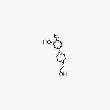 CCc1ccc(N2CCN(CCO)CC2)cc1O